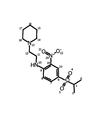 CC(C)S(=O)(=O)c1ccc(NCCN2CCCCC2)c([N+](=O)[O-])c1